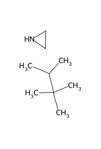 C1CN1.CC(C)C(C)(C)C